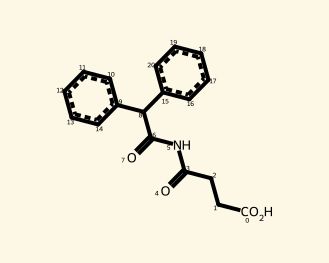 O=C(O)CCC(=O)NC(=O)C(c1ccccc1)c1ccccc1